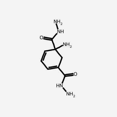 NNC(=O)C1=CC=CC(N)(C(=O)NN)C1